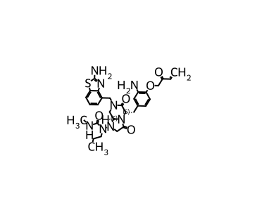 C=CC(=O)COc1ccc(C[C@H]2C(=O)N(Cc3cccc4sc(N)nc34)C[C@H]3N2C(=O)CN3N(CCC)C(=O)NC)cc1N